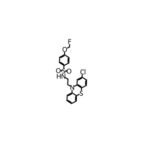 O=S(=O)(NCCN1c2ccccc2Sc2ccc(Cl)cc21)c1ccc(OCF)cc1